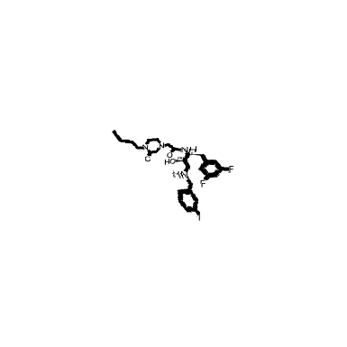 CCCCN1CCN(CC(=O)N[C@@H](Cc2cc(F)cc(F)c2)[C@H](O)CNCc2cccc(I)c2)CC1=O